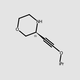 CC(C)OC#C[C@H]1COCCN1